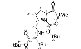 COC(=O)[C@@H]1C[C@@H](C)[C@@H](CN[C@@H](C(=O)OC(C)(C)C)C(C)(C)C)N1C(=O)OC(C)(C)C